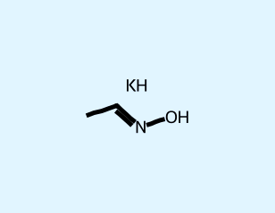 C/C=N/O.[KH]